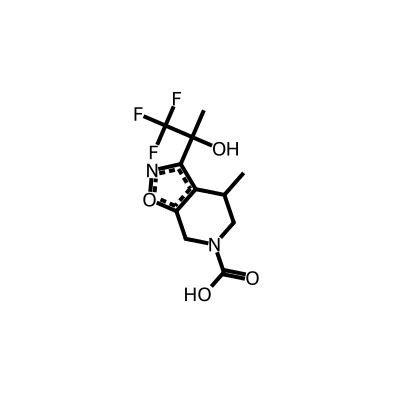 CC1CN(C(=O)O)Cc2onc(C(C)(O)C(F)(F)F)c21